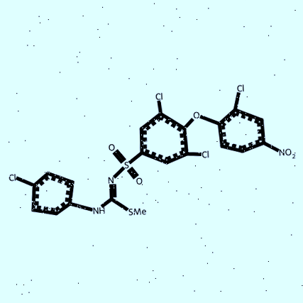 CS/C(=N\S(=O)(=O)c1cc(Cl)c(Oc2ccc([N+](=O)[O-])cc2Cl)c(Cl)c1)Nc1ccc(Cl)cc1